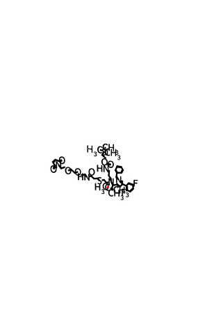 CC(C)(C)C(c1cc(-c2cc(F)ccc2F)cn1Cc1ccccc1)N(CCCNC(=O)OCC[Si](C)(C)C)C(=O)CSCCC(=O)NCCOCCOCCN1C(=O)C=CC1=O